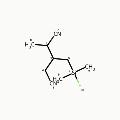 CC(C#N)C(CC#N)C[Si](C)(C)F